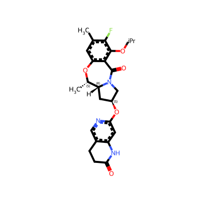 Cc1cc2c(c(OC(C)C)c1F)C(=O)N1C[C@@H](Oc3cc4c(cn3)CCC(=O)N4)C[C@@H]1[C@H](C)O2